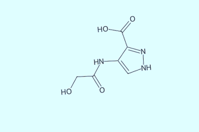 O=C(CO)Nc1c[nH]nc1C(=O)O